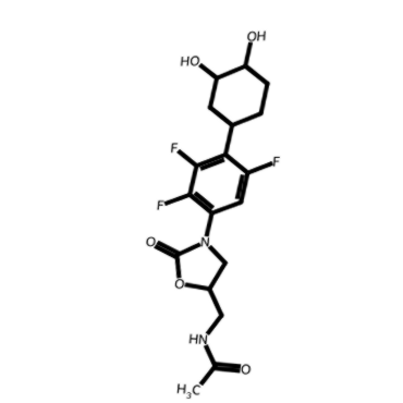 CC(=O)NCC1CN(c2cc(F)c(C3CCC(O)C(O)C3)c(F)c2F)C(=O)O1